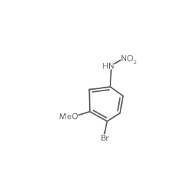 COc1cc(N[N+](=O)[O-])ccc1Br